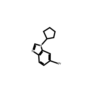 CC(C)c1ccc2ncn(C3CCCC3)c2c1